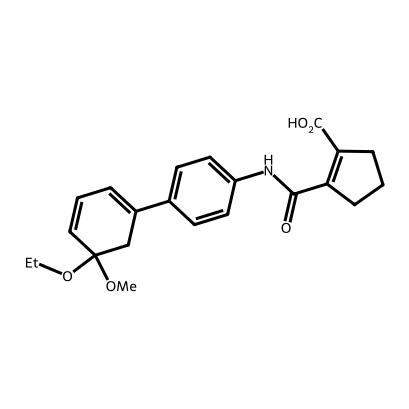 CCOC1(OC)C=CC=C(c2ccc(NC(=O)C3=C(C(=O)O)CCC3)cc2)C1